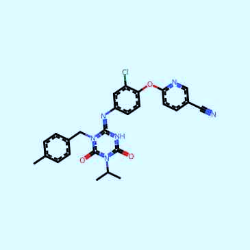 Cc1ccc(Cn2c(=O)n(C(C)C)c(=O)[nH]/c2=N\c2ccc(Oc3ccc(C#N)cn3)c(Cl)c2)cc1